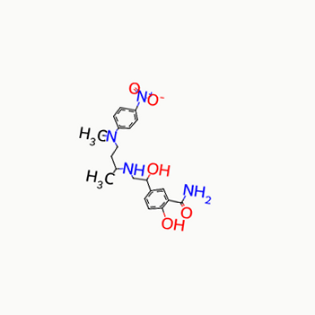 CC(CCN(C)c1ccc([N+](=O)[O-])cc1)NCC(O)c1ccc(O)c(C(N)=O)c1